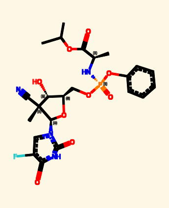 CC(C)OC(=O)[C@@H](C)N[P@](=O)(OC[C@H]1O[C@@H](n2cc(F)c(=O)[nH]c2=O)[C@](C)(C#N)[C@@H]1O)Oc1ccccc1